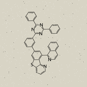 c1ccc(-c2nc(-c3ccccc3)nc(-c3cccc(-c4cc(-c5nccc6ccccc56)c5c(c4)sc4cccnc45)c3)n2)cc1